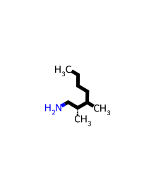 CCCCC(C)[C@H](C)CN